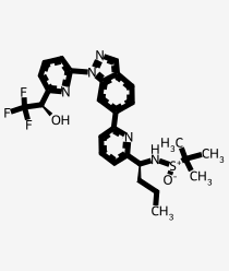 CCC[C@H](N[S+]([O-])C(C)(C)C)c1cccc(-c2ccc3cnn(-c4cccc([C@@H](O)C(F)(F)F)n4)c3c2)n1